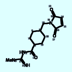 CNC(=N)NC(=O)C1CCC(CN2C(=O)C=CC2=O)CC1